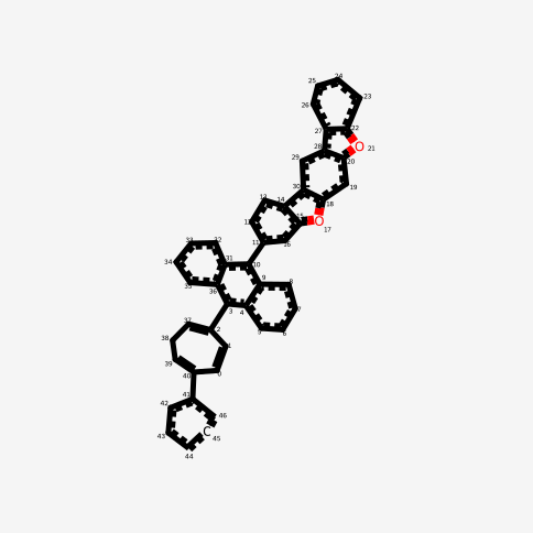 C1=CC(c2c3ccccc3c(-c3ccc4c(c3)oc3cc5oc6ccccc6c5cc34)c3ccccc23)=CCC=C1c1ccccc1